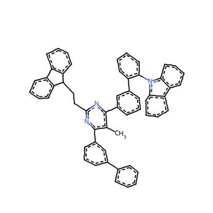 Cc1c(-c2cccc(-c3ccccc3)c2)nc(CCC2c3ccccc3-c3ccccc32)nc1-c1cccc(-c2ccccc2-n2c3ccccc3c3ccccc32)c1